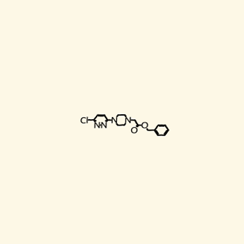 O=C(CN1CCN(c2ccc(Cl)nn2)CC1)OCc1ccccc1